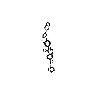 O=C1c2ccc(OC[C@@H]3CCCO3)cc2CCN1c1ccc(N2CCC(N3CC4CCC4C3)C2)c(F)c1